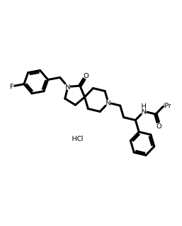 CC(C)C(=O)NC(CCN1CCC2(CC1)CCN(Cc1ccc(F)cc1)C2=O)c1ccccc1.Cl